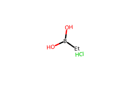 CCB(O)O.Cl